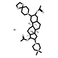 CC(=O)OC1CC2CC[C@@H]3[C@@H](CC[C@]4(C)C(OC(C)=O)C(N5CC[N+](C)(C)CC5)C[C@@H]34)[C@@]2(C)CC1N1CCC2(CC1)OCCO2.[Br-]